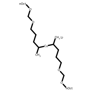 CCCCCCCCOCOCCC[CH](C)[Cu][CH](C)CCCOCOCCCCCCCC.[Li]